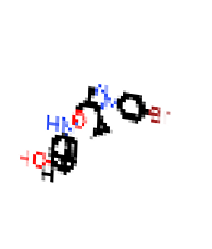 O[C@H]1C2CC3CC1C[C@@](NOCc1cnn(-c4ccc(Br)cc4)c1C1CC1)(C3)C2